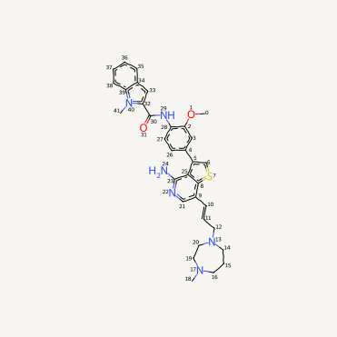 COc1cc(-c2csc3c(C=CCN4CCCN(C)CC4)cnc(N)c23)ccc1NC(=O)c1cc2ccccc2n1C